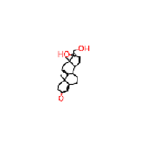 CC12CCC(=O)C=C1CCC1C2=CCC2(C)C1CC[C@@]2(O)CO